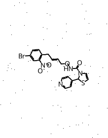 O=C(NOCC=CCc1ccc(Br)cc1[N+](=O)[O-])N1[C]=CSC1c1ccncc1